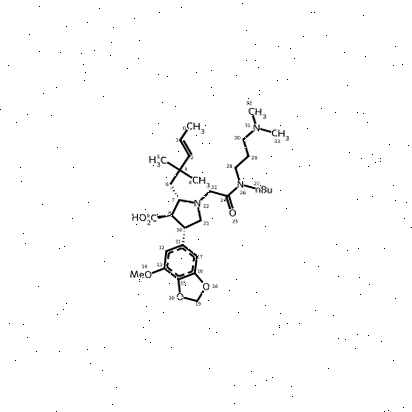 C/C=C/C(C)(C)C[C@H]1[C@H](C(=O)O)[C@@H](c2cc(OC)c3c(c2)OCO3)CN1CC(=O)N(CCCC)CCCN(C)C